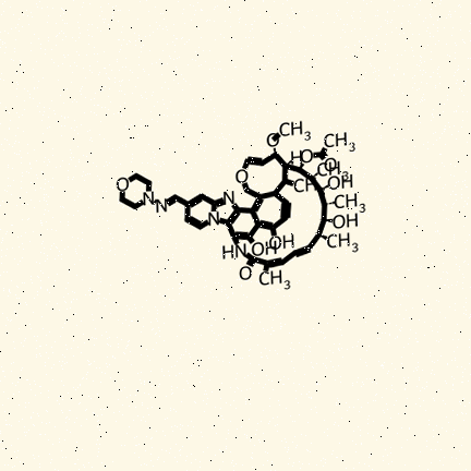 CO[C@H]1/C=C/OCC2=c3c4c(O)c(c5c3nc3cc(/C=N/N6CCOCC6)ccn35)NC(=O)/C(C)=C\C=C\[C@H](C)[C@H](O)[C@@H](C)[C@@H](O)[C@@H](C)[C@H](OC(C)=O)[C@H]1C(C)C2C#CC=4O